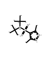 Cc1noc(C)c1S(=O)(=O)N(C(C)(C)C)C(C)(C)C